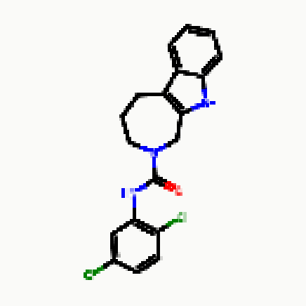 O=C(Nc1cc(Cl)ccc1Cl)N1CCCc2c([nH]c3ccccc23)C1